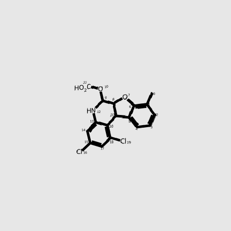 Cc1cccc2c1OC1C(OC(=O)O)Nc3cc(Cl)cc(Cl)c3C21